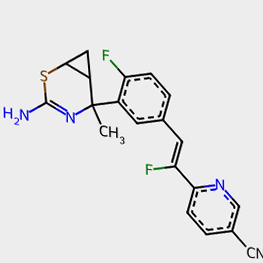 CC1(c2cc(C=C(F)c3ccc(C#N)cn3)ccc2F)N=C(N)SC2CC21